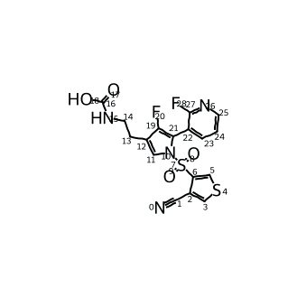 N#Cc1cscc1S(=O)(=O)n1cc(CCNC(=O)O)c(F)c1-c1cccnc1F